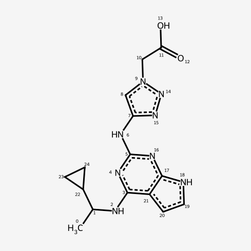 CC(Nc1nc(Nc2cn(CC(=O)O)nn2)nc2[nH]ccc12)C1CC1